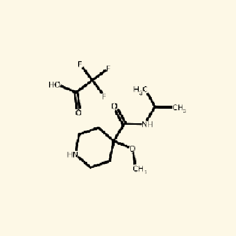 COC1(C(=O)NC(C)C)CCNCC1.O=C(O)C(F)(F)F